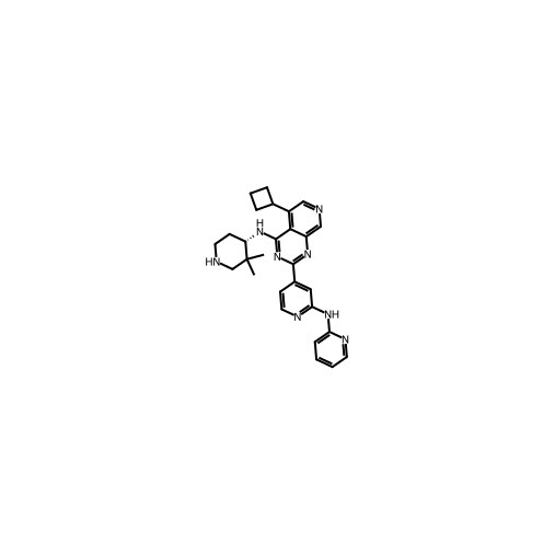 CC1(C)CNCC[C@@H]1Nc1nc(-c2ccnc(Nc3ccccn3)c2)nc2cncc(C3CCC3)c12